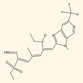 CC[S+]([O-])C(=C\c1nc2cc(C(F)(F)F)ncc2n1C)/C=C(C)/C=C(\C=N)S(=O)(=O)CC